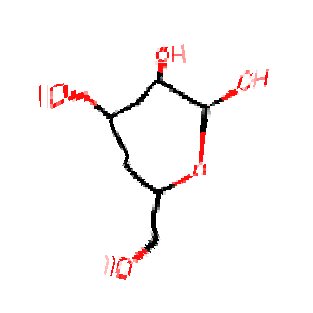 OCC1CC(O)[C@@H](O)[C@@H](O)O1